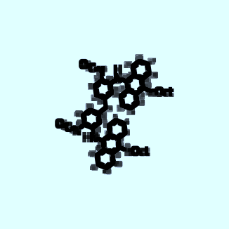 CCCCCCCCc1c2ccccc2c(Nc2cc(Cc3ccc(N=C=O)c(Nc4c5ccccc5c(CCCCCCCC)c5ccccc45)c3)ccc2N=C=O)c2ccccc12